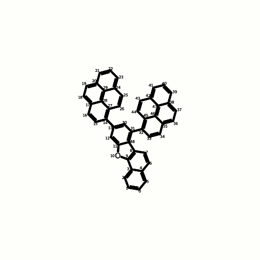 c1ccc2c(c1)ccc1c2oc2cc(-c3ccc4ccc5cccc6ccc3c4c56)cc(-c3ccc4ccc5cccc6ccc3c4c56)c21